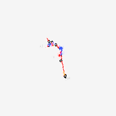 COC(=O)C(COCc1cccc(OCCOCCOCCOS(=O)(=O)c2ccc(C)cc2)c1)NC(=O)Cn1cc(COc2ccc3nc(S(=O)(=O)NC(c4ccccc4)(c4ccc(OC)cc4)c4ccc(OC)cc4)sc3c2)nn1